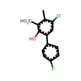 Cc1c(Cl)cc(-c2ccc(F)cc2)c(O)c1C(=O)O